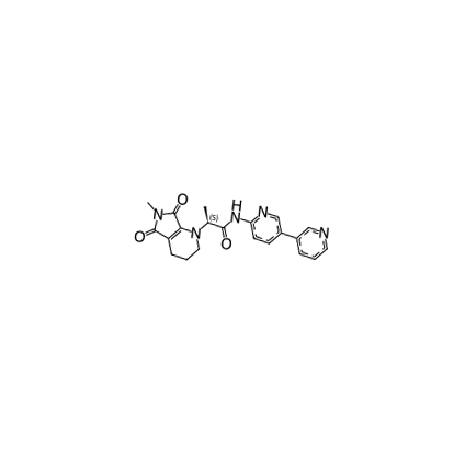 C[C@@H](C(=O)Nc1ccc(-c2cccnc2)cn1)N1CCCC2=C1C(=O)N(C)C2=O